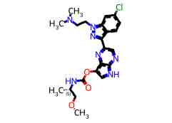 COC[C@H](C)NC(=O)Oc1c[nH]c2ncc(-c3nn(CCN(C)C)c4cc(Cl)ccc34)nc12